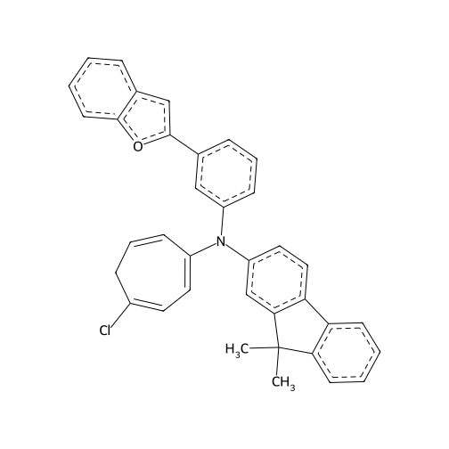 CC1(C)c2ccccc2-c2ccc(N(C3=CC=C(Cl)CC=C3)c3cccc(-c4cc5ccccc5o4)c3)cc21